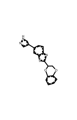 c1ccc2c(c1)OCC(c1nc3ccc(-c4cn[nH]c4)cc3s1)O2